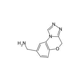 NCc1ccc2c(c1)-n1cnnc1CO2